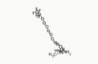 CCCCc1nc2c(N)nc3ccc(N4CCN(CCOCCOCCOCCOCCOCCOCCC(=O)Oc5c(F)c(F)cc(F)c5F)CC4)cc3c2[nH]1